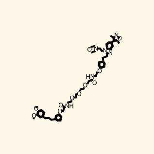 COc1ccc(CCCc2cccc(OCC(=O)NCCOCCOCCOCCC(=O)NCCOc3ccc(CCc4nc5cc(-c6c(C)noc6C)ccc5n4CCN4CCOCC4)cc3)c2)cc1OC